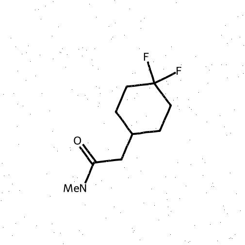 CNC(=O)CC1CCC(F)(F)CC1